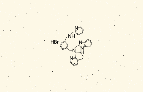 Br.c1ccc(CNCc2cccc(CN(Cc3nc4ccccc4[nH]3)C3CCCc4cccnc43)c2)nc1